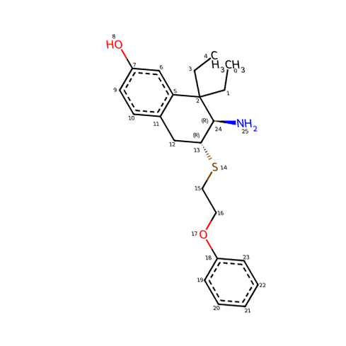 CCC1(CC)c2cc(O)ccc2C[C@@H](SCCOc2ccccc2)[C@@H]1N